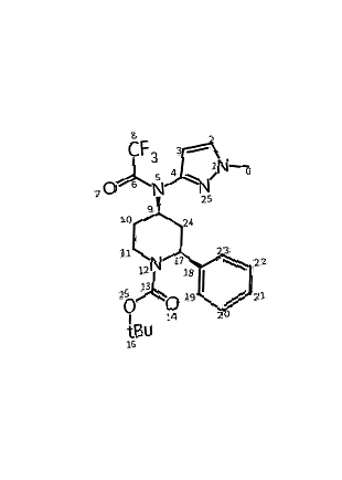 Cn1ccc(N(C(=O)C(F)(F)F)[C@@H]2CCN(C(=O)OC(C)(C)C)[C@H](c3ccccc3)C2)n1